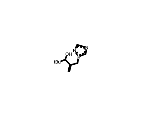 C=C(Cn1cncn1)C(O)C(C)(C)C